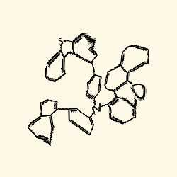 c1cc(-c2cccc3ccccc23)cc(N(c2ccc(-c3cccc4sc5ccccc5c34)cc2)c2cccc3oc4c5ccccc5ccc4c23)c1